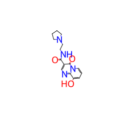 O=C(NCCN1CCCC1)c1cnc2c(O)cccn2c1=O